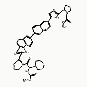 COC(=O)NC(C(=O)N1CCCC1c1nc2c([nH]1)-c1ccc(-c3ccc4cc(-c5cnc(C6CCCN6C(=O)OC(C)(C)C)[nH]5)ccc4c3)cc1CC2)C1CCOCC1